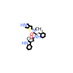 Cc1[nH]c2ccccc2c1CC(=O)N[C@@H](Cc1ccccc1)C(=O)N(C)c1cc2c[nH]cc2s1